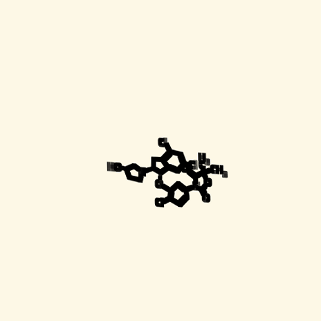 CC1(C)OC(=O)N(c2ccc(Cl)c(O[C@H]3c4cc(Cl)cc(Cl)c4C[C@@H]3N3CC[C@@H](O)C3)c2)C1=O